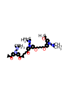 CCC(=O)c1ccc2c(c1)c1cc(C(=O)CCCCCC(=O)c3ccc4c(c3)c3cc(C(=O)CCCC5CC5C(=O)c5ccc6c(c5)c5cc(C(=O)C7CC7)ccc5n6CCN(CC)CC)ccc3n4CCN(CC)CC)ccc1n2CCN(CC)CC